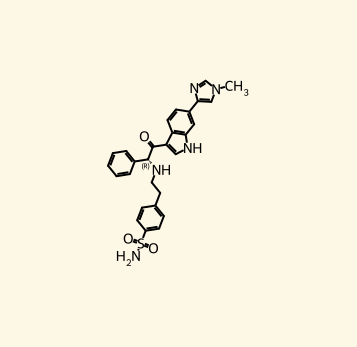 Cn1cnc(-c2ccc3c(C(=O)[C@H](NCCc4ccc(S(N)(=O)=O)cc4)c4ccccc4)c[nH]c3c2)c1